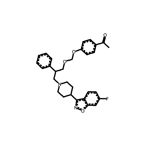 CC(=O)c1ccc(OCOCC(CN2CCC(c3noc4cc(F)ccc34)CC2)c2ccccc2)cc1